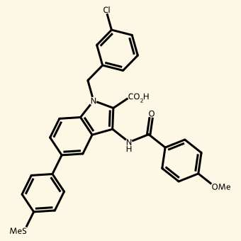 COc1ccc(C(=O)Nc2c(C(=O)O)n(Cc3cccc(Cl)c3)c3ccc(-c4ccc(SC)cc4)cc23)cc1